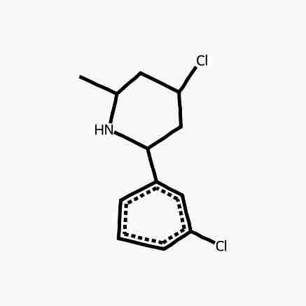 CC1CC(Cl)CC(c2cccc(Cl)c2)N1